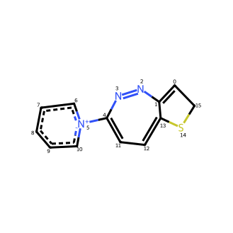 C1=C2N=NC([n+]3ccccc3)=CC=C2SC1